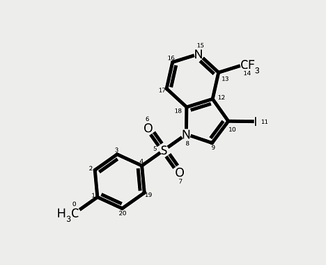 Cc1ccc(S(=O)(=O)n2cc(I)c3c(C(F)(F)F)nccc32)cc1